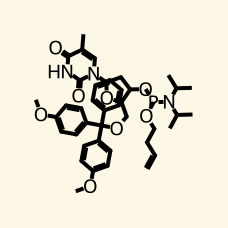 C=CCCOP(OC1CC(n2cc(C)c(=O)[nH]c2=O)OC1COC(c1ccccc1)(c1ccc(OC)cc1)c1ccc(OC)cc1)N(C(C)C)C(C)C